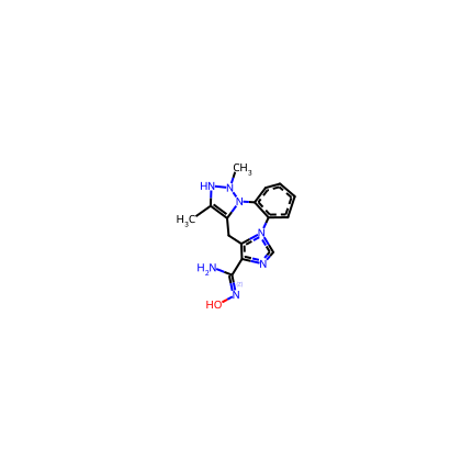 CC1=C2Cc3c(/C(N)=N/O)ncn3-c3ccccc3N2N(C)N1